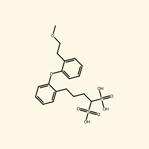 COCCc1ccccc1Oc1ccccc1CCCC(P(=O)(O)O)S(=O)(=O)O